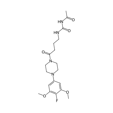 COc1cc(N2CCN(C(=O)CCCNC(=O)NC(C)=O)CC2)cc(OC)c1F